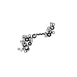 COc1cc(C(=O)NC2CCN(CCCCCCNc3cccc4c3C(=O)N(C3CCC(=O)NC3=O)C4=O)CC2)c(F)cc1Nc1ncc2c(n1)N(C1CCCC1)CC(F)(F)C(=O)N2C